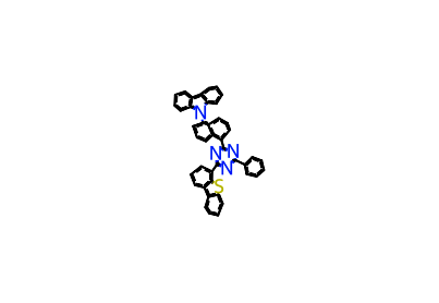 c1ccc(-c2nc(-c3cccc4c(-n5c6ccccc6c6ccccc65)cccc34)nc(-c3cccc4c3sc3ccccc34)n2)cc1